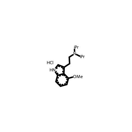 COc1cccc2[nH]cc(CCN(C(C)C)C(C)C)c12.Cl